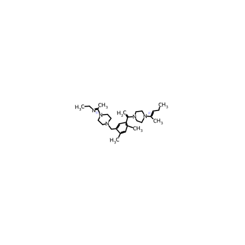 C=C(c1cc(CN2CCN(/C(C)=N/CC)CC2)c(C)cc1C)N1CCN(/C(C)=C/CC)CC1